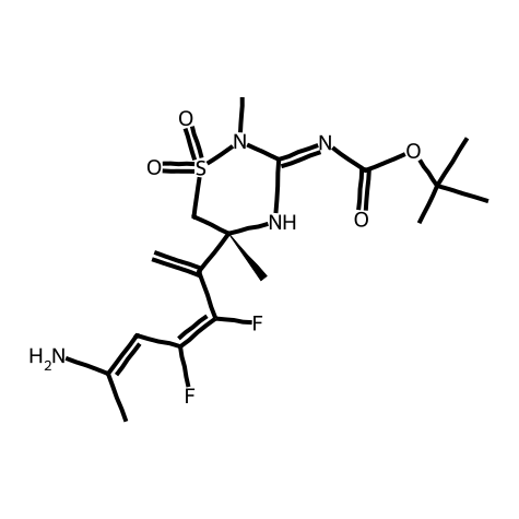 C=C(/C(F)=C(F)\C=C(/C)N)[C@]1(C)CS(=O)(=O)N(C)/C(=N/C(=O)OC(C)(C)C)N1